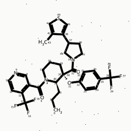 CCC[C@H]1N(C(=O)c2cnccc2C(F)(F)F)CCC[C@@]1(Oc1ccc(C(F)(F)F)cc1)C(=O)N1CCC(c2cscc2C)C1